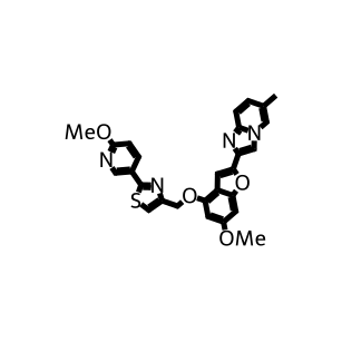 COc1cc(OCc2csc(-c3ccc(OC)nc3)n2)c2cc(-c3cn4cc(C)ccc4n3)oc2c1